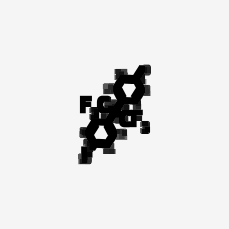 Cc1ccc(C(c2ccc(F)cc2)(C(F)(F)F)C(F)(F)F)cc1